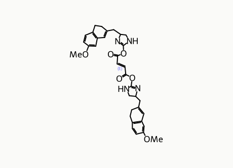 COc1ccc2c(c1)C=C(CC1CNC(OC(=O)/C=C/C(=O)OC3=NC(CC4=Cc5cc(OC)ccc5CC4)CN3)=N1)CC2